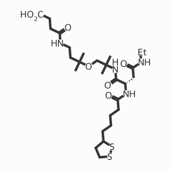 CCNC(=O)C[C@H](NC(=O)CCCCC1CCSS1)C(=O)NC(C)(C)COC(C)(C)CCNC(=O)CCC(=O)O